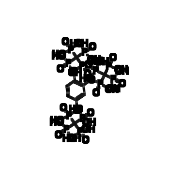 O=P(O)(O)C(P(=O)(O)O)(P(=O)(O)O)P(=O)(O)Oc1ccc(OP(=O)(O)C(P(=O)(O)O)(P(=O)(O)O)P(=O)(O)O)c(OP(=O)(O)C(P(=O)(O)O)(P(=O)(O)O)P(=O)(O)O)c1